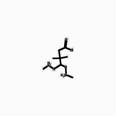 C[SiH2]OC(O[SiH2]C)C(C)(C)CC(=O)Cl